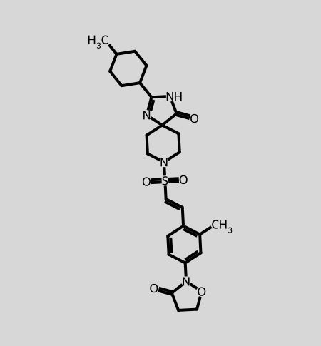 Cc1cc(N2OCCC2=O)ccc1C=CS(=O)(=O)N1CCC2(CC1)N=C(C1CCC(C)CC1)NC2=O